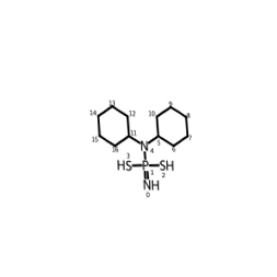 N=P(S)(S)N(C1CCCCC1)C1CCCCC1